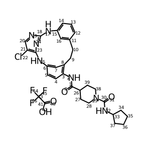 O=C(Nc1ccc2cc1CCc1cccc(c1)Nc1ncc(Cl)c(n1)N2)C1CCN(C(=O)NC2CCCC2)CC1.O=C(O)C(F)(F)F